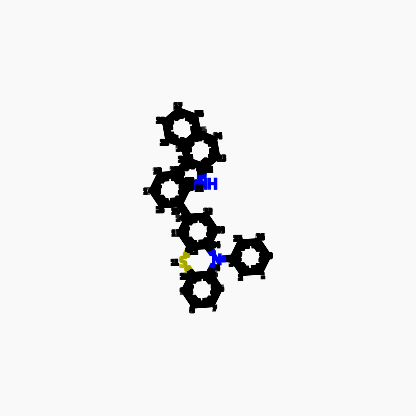 c1ccc(N2c3ccccc3Sc3cc(-c4cccc5c4[nH]c4ccc6ccccc6c45)ccc32)cc1